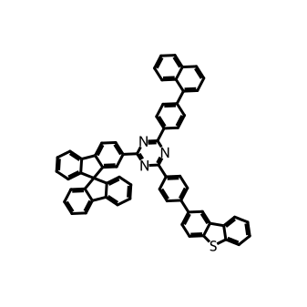 c1ccc2c(c1)-c1ccccc1C21c2ccccc2-c2ccc(-c3nc(-c4ccc(-c5ccc6sc7ccccc7c6c5)cc4)nc(-c4ccc(-c5cccc6ccccc56)cc4)n3)cc21